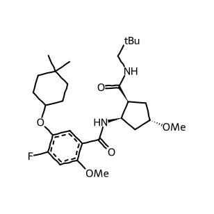 COc1cc(F)c(OC2CCC(C)(C)CC2)cc1C(=O)N[C@@H]1C[C@@H](OC)C[C@@H]1C(=O)NCC(C)(C)C